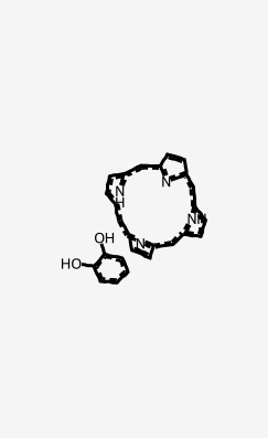 C1=Cc2cc3ccc(cc4nc(cc5ccc(cc1n2)[nH]5)C=C4)[nH]3.Oc1ccccc1O